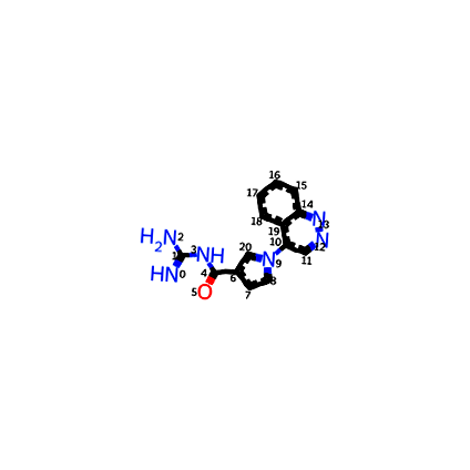 N=C(N)NC(=O)c1ccn(-c2cnnc3ccccc23)c1